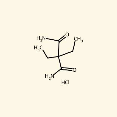 CCC(CC)(C(N)=O)C(N)=O.Cl